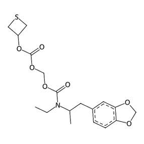 CCN(C(=O)OCOC(=O)OC1CSC1)C(C)Cc1ccc2c(c1)OCO2